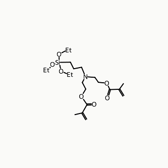 C=C(C)C(=O)OCCN(CCC[Si](OCC)(OCC)OCC)CCOC(=O)C(=C)C